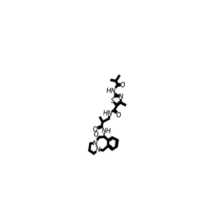 Cc1nc(NC(=O)C(C)C)sc1C(=O)NCC(C)C(=O)N[C@@H]1C(=O)N2CCCN2Cc2ccccc21